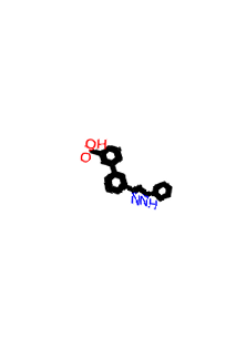 O=C(O)c1cccc(-c2cccc(-c3cc(-c4ccccc4)[nH]n3)c2)c1